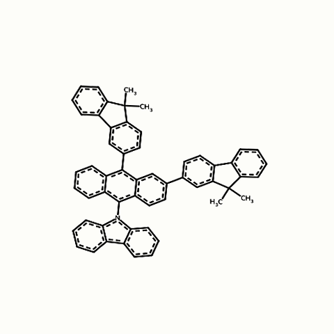 CC1(C)c2ccccc2-c2cc(-c3c4ccccc4c(-n4c5ccccc5c5ccccc54)c4ccc(-c5ccc6c(c5)C(C)(C)c5ccccc5-6)cc34)ccc21